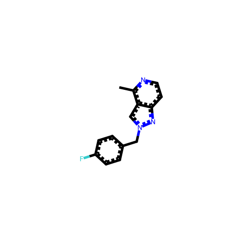 Cc1nccc2nn(Cc3ccc(F)cc3)cc12